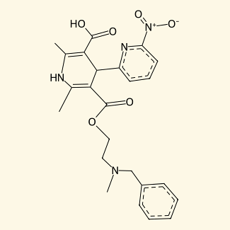 CC1=C(C(=O)O)C(c2cccc([N+](=O)[O-])n2)C(C(=O)OCCN(C)Cc2ccccc2)=C(C)N1